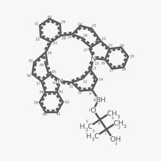 CC(C)(O)C(C)(C)OBc1cc2cc(c1)n1c3ccccc3c3ccc(cc31)c1ccccc1c1ccc3c4ccccc4n2c3c1